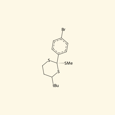 CS[C@@]1(c2ccc(Br)cc2)SCCC(C(C)(C)C)S1